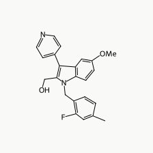 COc1ccc2c(c1)c(-c1ccncc1)c(CO)n2Cc1ccc(C)cc1F